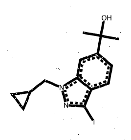 CC(C)(O)c1ccc2c(I)nn(CC3CC3)c2c1